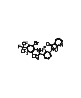 O=C(Nc1c(Br)cc(C(F)(C(F)(F)F)C(F)(F)F)cc1C(F)(F)F)c1cccc(-n2oc3ncccc3c2=O)c1F